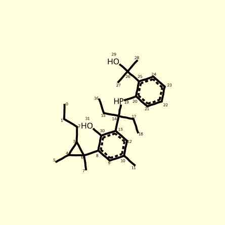 CCCC1C(C)C1(C)c1cc(C)cc(C(CC)(CC)Pc2ccccc2C(C)(C)O)c1O